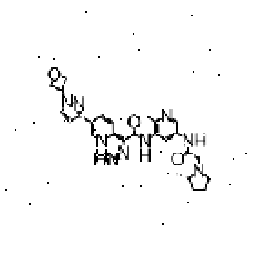 Cc1ncc(NC(=O)CN2CCC[C@@H]2C)cc1NC(=O)/C(N=N)=C1\C=CC(c2ccn(C3COC3)n2)=CN1